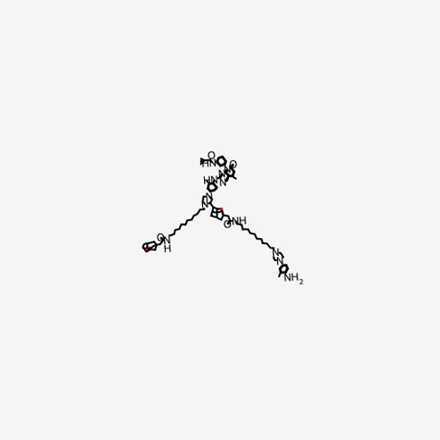 Cc1cc(N2CCN(CCCCCCCCCCCCNC(=O)CC34CC5CC6C(C7CN(c8ccc(Nc9ncc%10c(C)cc(=O)n(-c%11cccc(NC(=O)C%12CC%12)c%11)c%10n9)c(C)c8)CCN7CCCCCCCCCCCCNC(=O)CC78CC9CC(CC(C9)C7)C8)C(C3)C56C4)CC2)ccc1N